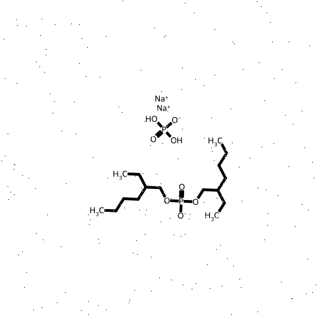 CCCCC(CC)COP(=O)([O-])OCC(CC)CCCC.O=P([O-])(O)O.[Na+].[Na+]